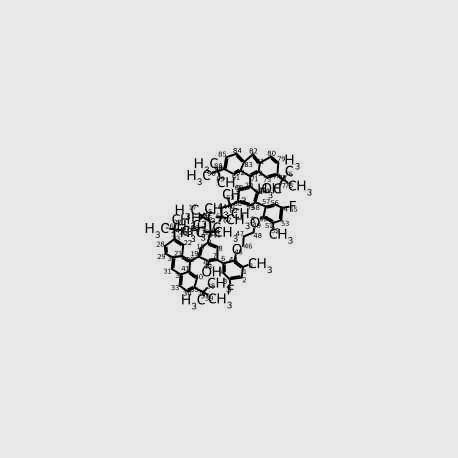 Cc1cc(F)cc(-c2cc(C(C)(C)CC(C)(C)C)cc(-c3c4cc(C(C)(C)C)ccc4cc4ccc(C(C)(C)C)cc34)c2O)c1OCCCOc1c(C)cc(F)cc1-c1cc(C(C)(C)CC(C)(C)C)cc(-c2c3cc(C(C)(C)C)ccc3cc3ccc(C(C)(C)C)cc23)c1O